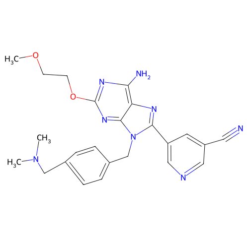 COCCOc1nc(N)c2nc(-c3cncc(C#N)c3)n(Cc3ccc(CN(C)C)cc3)c2n1